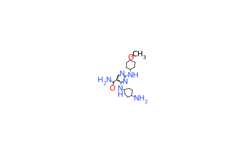 COC1CCC(Nc2ncc(C(N)=O)c(N[C@H]3CC[C@H](N)CC3)n2)CC1